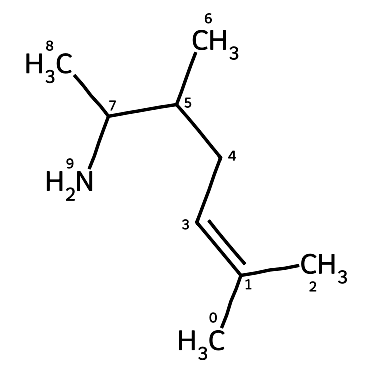 CC(C)=CCC(C)C(C)N